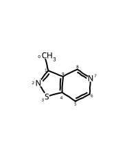 Cc1nsc2ccncc12